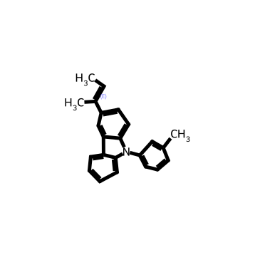 C/C=C(\C)c1ccc2c(c1)c1ccccc1n2-c1cccc(C)c1